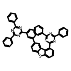 c1ccc(-c2nc(-c3ccccc3)nc(-c3cccc(-c4ccc5sc6cccc(-c7nc(-c8ccccc8)nc(-c8ccccc8)n7)c6c5c4)c3)n2)cc1